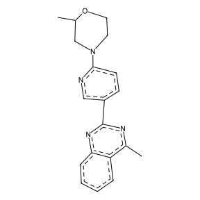 Cc1nc(-c2ccc(N3CCOC(C)C3)nc2)nc2ccccc12